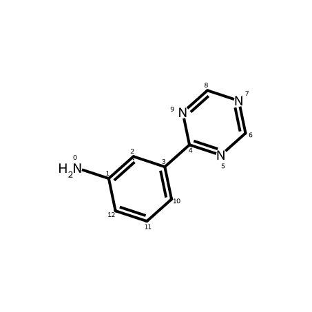 Nc1[c]c(-c2ncncn2)ccc1